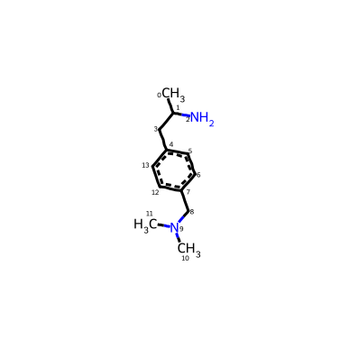 CC(N)Cc1ccc(CN(C)C)cc1